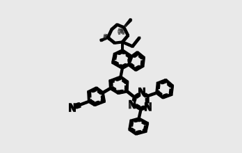 CCC1(c2ccc(-c3cc(-c4ccc(C#N)cc4)cc(-c4nc(-c5ccccc5)nc(-c5ccccc5)n4)c3)c3ccccc23)C[C@H](C)CC[C@H](C)C1